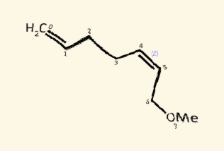 C=CCC/C=C\COC